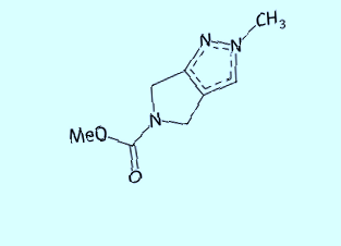 COC(=O)N1Cc2cn(C)nc2C1